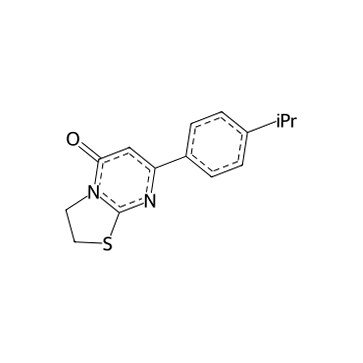 CC(C)c1ccc(-c2cc(=O)n3c(n2)SCC3)cc1